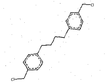 ClCc1ccc(CCCCc2ccc(CCl)cc2)cc1